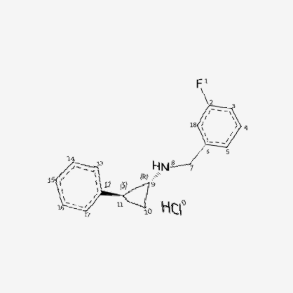 Cl.Fc1cccc(CN[C@@H]2C[C@H]2c2ccccc2)c1